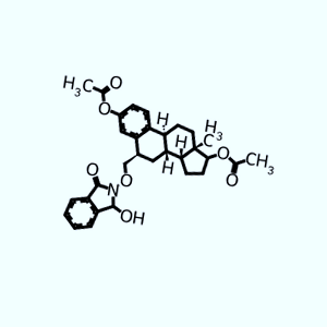 CC(=O)Oc1ccc2c(c1)[C@H](CON1C(=O)c3ccccc3C1O)C[C@@H]1[C@@H]2CC[C@]2(C)C(OC(C)=O)CC[C@H]12